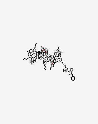 CCCCOCC1O[C@H](OP(=O)(ONC(C)(CC)CC)O[C@@H]2C(COCCCC)O[C@H](OP(=O)(ONC(C)(CC)CC)O[C@@H]3C(COCCCC)O[C@H](OCCCCCCNC(=O)OCc4ccccc4)C(N=[N+]=[N-])[C@H]3OCCCC)C(N=[N+]=[N-])[C@H]2OCCCC)C(N=[N+]=[N-])C(OCCCC)[C@@H]1OC(C)=O